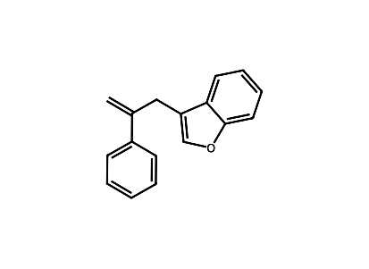 C=C(Cc1coc2ccccc12)c1ccccc1